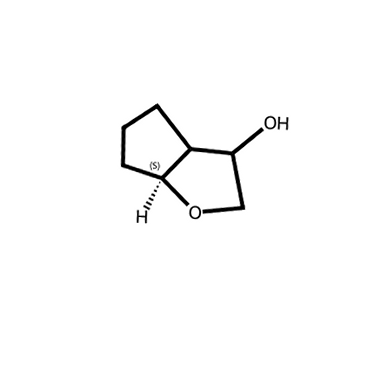 OC1CO[C@H]2CCCC12